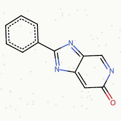 O=C1C=C2N=C(c3ccccc3)N=C2C=N1